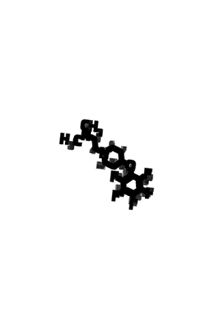 CN(C)CCN1CCC(Oc2c(F)c(F)c(F)c(F)c2F)CC1